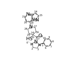 C[C@H]1CC[C@H](c2ccccc2)N1C(=O)C1(S)CCN(c2ccnc3ccnn23)CC1